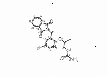 CC(COC(N)=O)Oc1ncc(F)cc1CN1C(=O)c2ccccc2C1=O